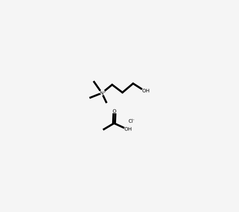 CC(=O)O.C[N+](C)(C)CCCO.[Cl-]